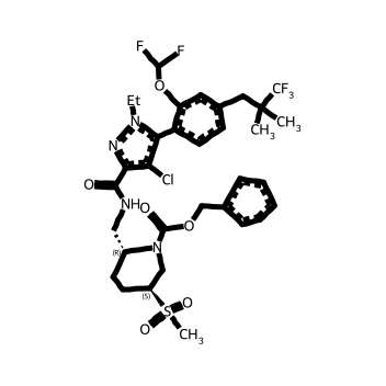 CCn1nc(C(=O)NC[C@H]2CC[C@H](S(C)(=O)=O)CN2C(=O)OCc2ccccc2)c(Cl)c1-c1ccc(CC(C)(C)C(F)(F)F)cc1OC(F)F